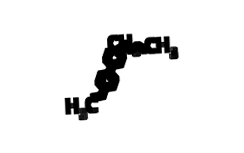 CCCCCC1(C)CC=C(c2ccc(CCC)cc2)CC1